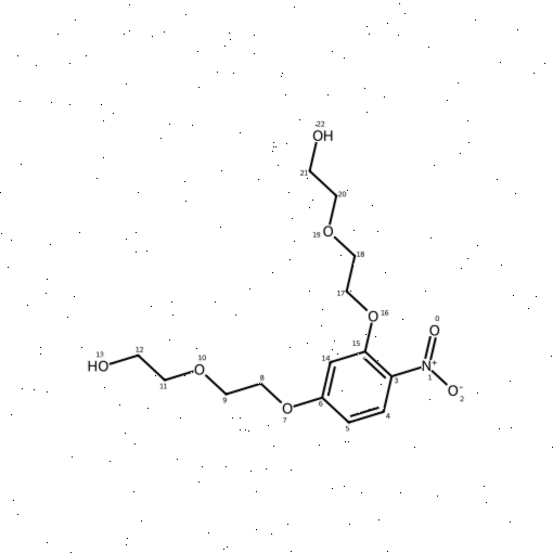 O=[N+]([O-])c1ccc(OCCOCCO)cc1OCCOCCO